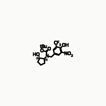 CC(C)(C)OC(=O)N(Cc1cc([N+](=O)[O-])c(O)c(C(F)(F)F)c1)[C@H]1CCC[C@@H]1O